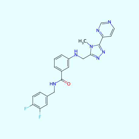 Cn1c(CNc2cccc(C(=O)NCc3ccc(F)c(F)c3)c2)nnc1-c1ccncn1